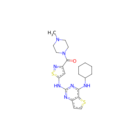 CN1CCN(C(=O)c2cc(Nc3nc(NC4CCCCC4)c4sccc4n3)sn2)CC1